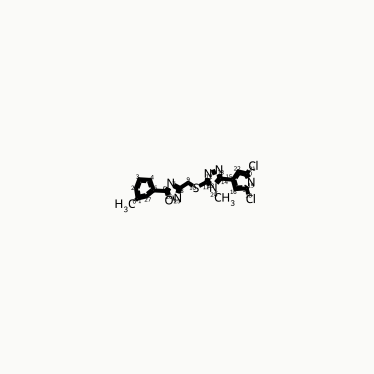 Cc1cccc(-c2nc(CSc3nnc(-c4cc(Cl)nc(Cl)c4)n3C)no2)c1